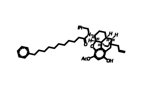 C=CCN1CC[C@]23c4c5c(O)cc(OC(C)=O)c4O[C@H]2[C@H](N(CC(C)C)C(=O)CCCCCCCCCCc2ccccc2)CC[C@H]3[C@H]1C5